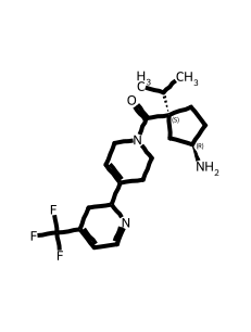 CC(C)[C@]1(C(=O)N2CC=C(C3CC(C(F)(F)F)=CC=N3)CC2)CC[C@@H](N)C1